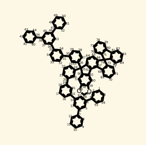 c1ccc(-c2cc(-c3ccccc3)cc(-c3cccc(-c4cccc(C5(c6cccc(-c7cccc(-c8cc(-c9ccccc9)cc(-c9ccccc9)c8)c7)c6)c6cc7c(cc6-c6c5ccc5c6-c6ccccc6C56c5ccccc5-c5ccccc56)OCO7)c4)c3)c2)cc1